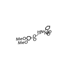 COc1ccc(C(=O)OCCCNC2=NS(=O)(=O)c3ccccc32)cc1OC